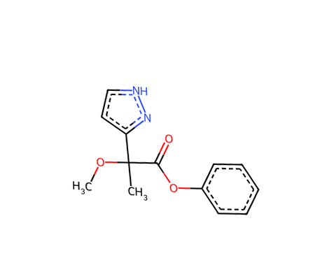 COC(C)(C(=O)Oc1ccccc1)c1cc[nH]n1